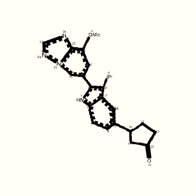 COc1cc(-c2[nH]c3ccc(C4CCC(=O)C4)cc3c2C(C)C)cn2ncnc12